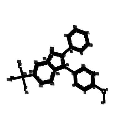 COc1ccc(-n2c(-c3ccccc3)nc3cc(C(F)(F)F)ccc32)cn1